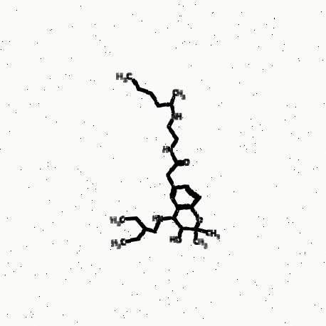 CCCCC(C)NCCNC(=O)Cc1ccc2c(c1)C(NCC(CC)CC)C(O)C(C)(C)O2